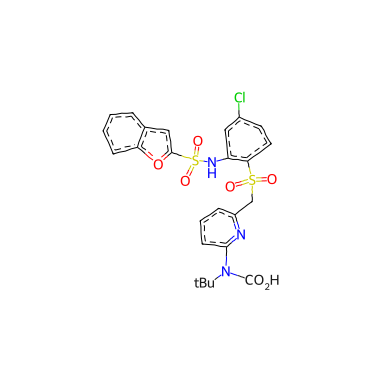 CC(C)(C)N(C(=O)O)c1cccc(CS(=O)(=O)c2ccc(Cl)cc2NS(=O)(=O)c2cc3ccccc3o2)n1